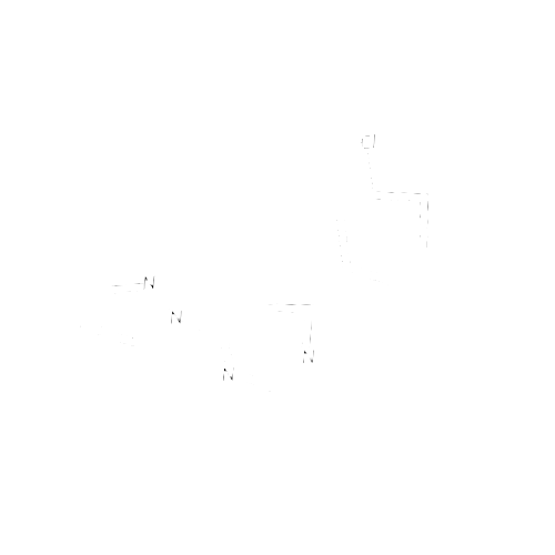 Clc1cccc(-c2cc(-n3cccn3)ncn2)c1